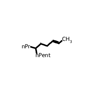 CC=CC[CH]C(CCC)CCCCC